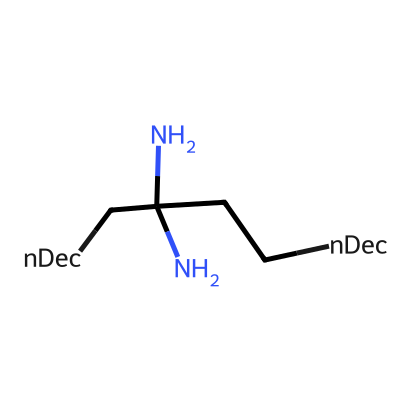 CCCCCCCCCCCCC(N)(N)CCCCCCCCCCC